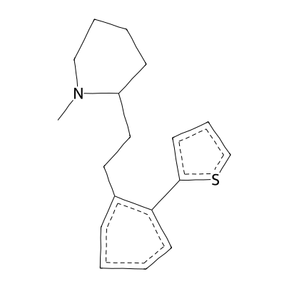 CN1CCCCC1CCc1ccccc1-c1cccs1